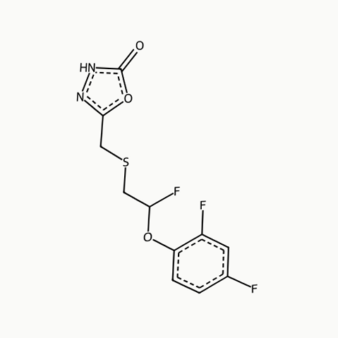 O=c1[nH]nc(CSCC(F)Oc2ccc(F)cc2F)o1